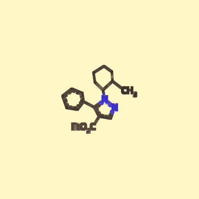 CCOC(=O)c1cnn(C2CCCCC2C)c1-c1ccccc1